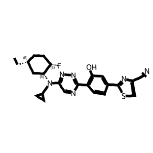 CC[C@@H]1CC[C@H](F)[C@H](N(c2cnc(-c3ccc(-c4nc(C#N)cs4)cc3O)nn2)C2CC2)C1